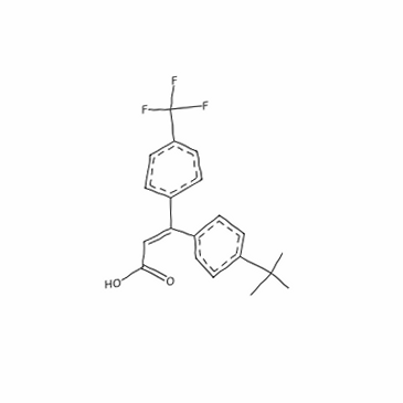 CC(C)(C)c1ccc(/C(=C\C(=O)O)c2ccc(C(F)(F)F)cc2)cc1